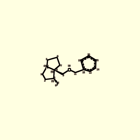 F[C@H]1CCN2CCC[C@]12COCc1ccccc1